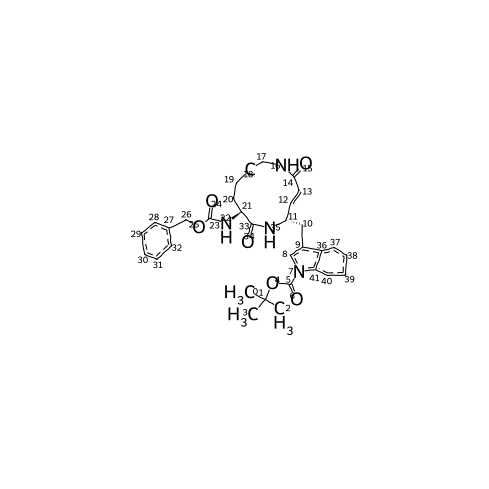 CC(C)(C)OC(=O)n1cc(C[C@H]2/C=C/C(=O)NCCCC[C@H](NC(=O)OCc3ccccc3)C(=O)N2)c2ccccc21